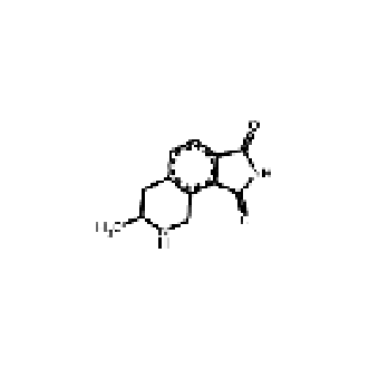 CC1Cc2ccc3c(c2CN1)C(=O)NC3=O